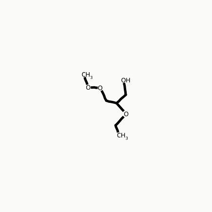 CCOC(CO)COOC